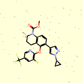 COC(=O)N1c2ccc(-c3cnn(C4CC4)c3)c(Oc3ncc(C(F)(F)F)cc3F)c2CC[C@@H]1C